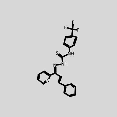 FC(F)(F)c1ccc(NC(=S)N/N=C(\C=C\c2ccccc2)c2ccccn2)cc1